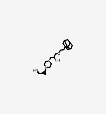 N=CC1C=C1N1CCN(CC(O)COCCC23CC4CC(CC(C4)C2)C3)CC1